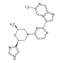 C[C@H]1CN(c2ccnc(-c3cnc4cnc(C(F)(F)F)cn34)n2)C[C@@H](c2c[nH]cn2)O1